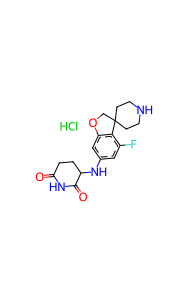 Cl.O=C1CCC(Nc2cc(F)c3c(c2)OCC32CCNCC2)C(=O)N1